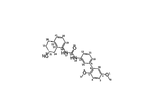 COc1ccc(OC)c(-c2cccc(NC(=O)Nc3cccc4c3CC(O)CC4)c2)c1